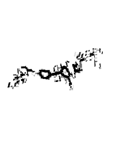 CC(C)(C)OC(=O)N1CC(Oc2c(Cl)cc(C(C)(C)c3ccc(OCc4ccnc(S(C)(=O)=O)n4)cc3)cc2C#N)C1